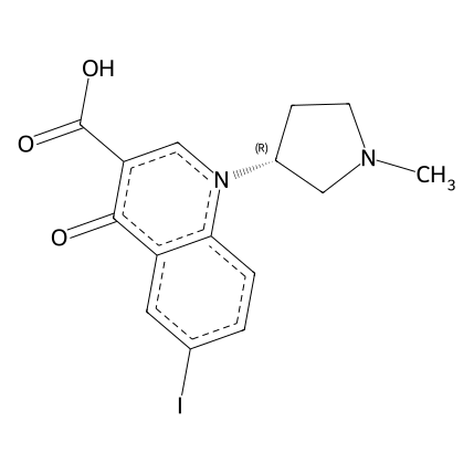 CN1CC[C@@H](n2cc(C(=O)O)c(=O)c3cc(I)ccc32)C1